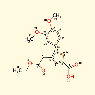 CCOC(=O)Cc1cc(C(=O)O)sc1-c1ccc(OC)c(OC)c1